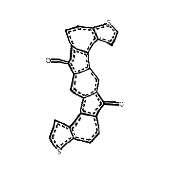 O=c1c2cc3c(cc2c2c1ccc1sccc12)c(=O)c1ccc2sccc2c13